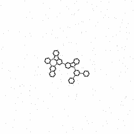 c1ccc(-c2cc(-c3ccccc3)cc(-n3c4ccccc4c4cc(-c5cc6c7c(c5)c5ccccc5n7-c5ccccc5-c5cc7ccccc7cc5-6)ccc43)c2)cc1